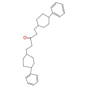 O=C(CCC1CCC(c2ccccc2)CC1)CCC1CCC(c2ccccc2)CC1